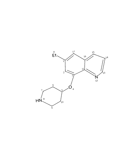 CCc1cc(OC2CCNCC2)c2ncccc2c1